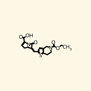 CCOC(=O)N1CCc2sc(/C=C3\C(=O)N4C(C(=O)O)=CCC34)cc2C1